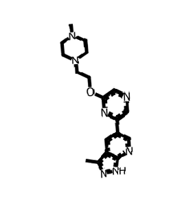 Cc1n[nH]c2ncc(-c3cncc(OCCN4CCN(C)CC4)n3)cc12